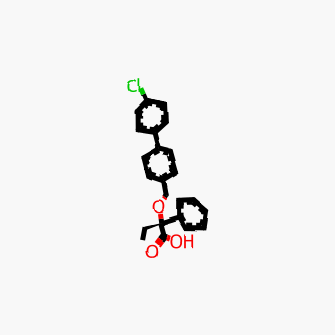 CC[C@](OCc1ccc(-c2ccc(Cl)cc2)cc1)(C(=O)O)c1ccccc1